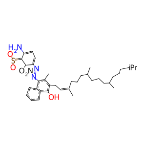 CC(=CCc1c(C)c(N=NC2=CC=C(N)C(=S(=O)=O)C2[N+](=O)[O-])c2ccccc2c1O)CCCC(C)CCCC(C)CCCC(C)C